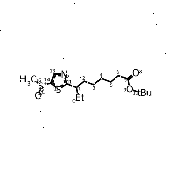 CCC(CCCCCC(=O)OC(C)(C)C)c1ncc([S+](C)[O-])s1